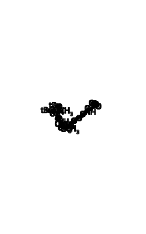 C[C@H](NC(=O)CCOCCOCCOCCNC(=O)CCCN1C(=O)C=CC1=O)C(=O)N[C@@H](C)C(=O)Nc1ccc(C[C@@H](C[C@H](C)C(=O)OC(C)(C)C)NC(=O)OC(C)(C)C)cc1